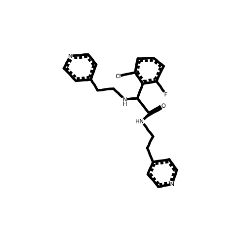 O=C(NCCc1ccncc1)C(NCCc1ccncc1)c1c(F)cccc1Cl